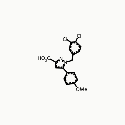 COc1ccc(-c2cc(C(=O)O)nn2Cc2ccc(Cl)c(Cl)c2)cc1